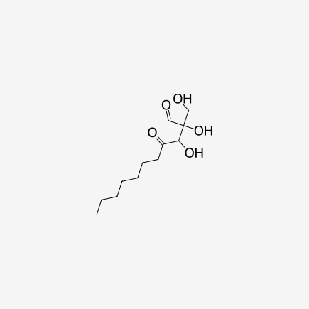 CCCCCCCC(=O)C(O)C(O)(C=O)CO